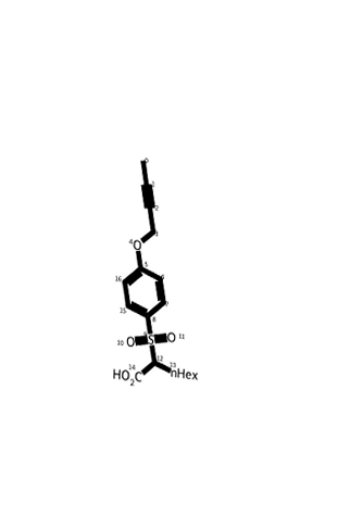 CC#CCOc1ccc(S(=O)(=O)C(CCCCCC)C(=O)O)cc1